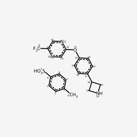 Cc1ccc(S(=O)(=O)O)cc1.FC(F)(F)c1cnc(Oc2ccc(C3CNC3)cc2)cn1